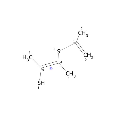 C=C(C)S/C(C)=C(\C)S